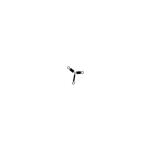 [O]=[V](=[O])[O-]